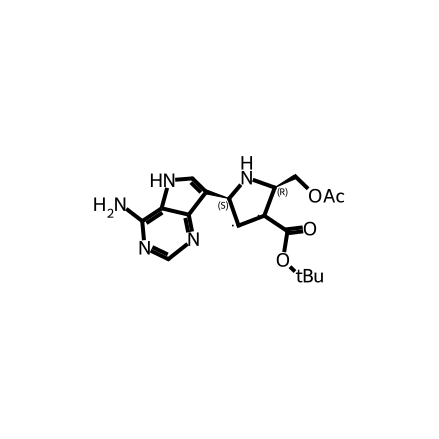 CC(=O)OC[C@@H]1N[C@H](c2c[nH]c3c(N)ncnc23)[CH][C]1C(=O)OC(C)(C)C